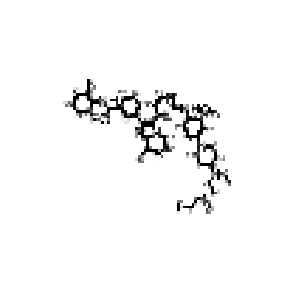 CCN(CCN(C)CCF)C1CCN(c2ccc(Nc3nccc(-c4c(-c5cccc(C(=O)Nc6c(F)cccc6F)c5)nc5c(C)cccn45)n3)c(OC)c2)CC1